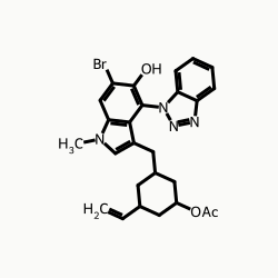 C=CC1CC(Cc2cn(C)c3cc(Br)c(O)c(-n4nnc5ccccc54)c23)CC(OC(C)=O)C1